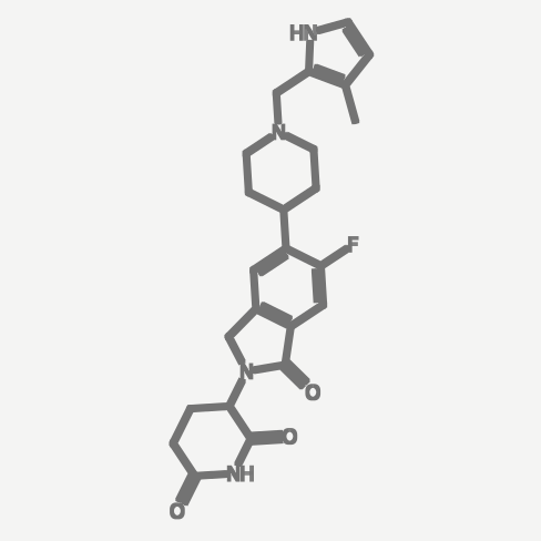 Cc1cc[nH]c1CN1CCC(c2cc3c(cc2F)C(=O)N(C2CCC(=O)NC2=O)C3)CC1